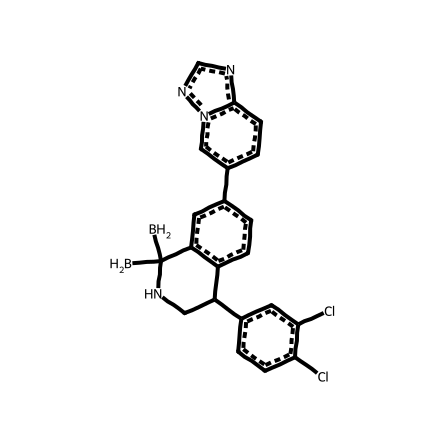 BC1(B)NCC(c2ccc(Cl)c(Cl)c2)c2ccc(-c3ccc4ncnn4c3)cc21